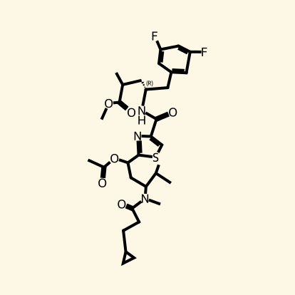 COC(=O)C(C)C[C@H](Cc1cc(F)cc(F)c1)NC(=O)c1csc(C(CC(C(C)C)N(C)C(=O)CCC2CC2)OC(C)=O)n1